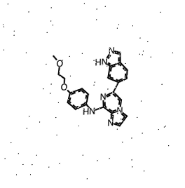 COCCOc1ccc(Nc2nc(-c3ccc4cn[nH]c4c3)cn3ccnc23)cc1